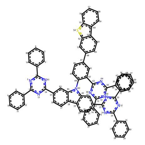 c1ccc(-c2nc(-c3ccccc3)nc(-c3ccc4c5ccc(-c6nc(-c7ccccc7)nc(-c7ccccc7)n6)cc5n(-c5ccc(-c6ccc7c(c6)sc6ccccc67)cc5-c5nc(-c6ccccc6)nc(-c6ccccc6)n5)c4c3)n2)cc1